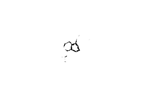 CNC[C@@H]1OCCc2c(OC)cccc21